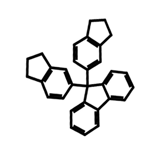 c1ccc2c(c1)-c1ccccc1C2(c1ccc2c(c1)CCC2)c1ccc2c(c1)CCC2